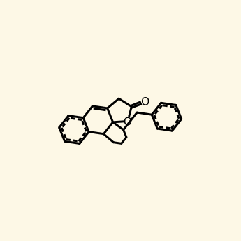 O=C1CC2=Cc3ccccc3C3CCCC(Cc4ccccc4)C23O1